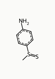 CS(=S)c1ccc(N)cc1